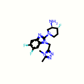 Cc1nnc(Cn2c(N3CC[C@@H](F)[C@H](N)C3)nc3cc(F)c(F)cc32)n1C